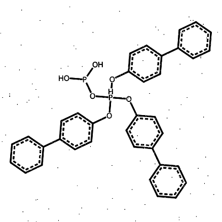 OP(O)O[PH](Oc1ccc(-c2ccccc2)cc1)(Oc1ccc(-c2ccccc2)cc1)Oc1ccc(-c2ccccc2)cc1